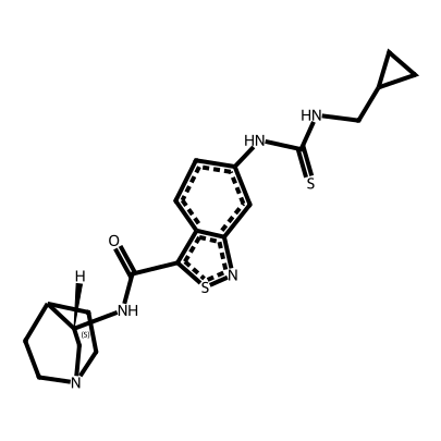 O=C(N[C@@H]1CN2CCC1CC2)c1snc2cc(NC(=S)NCC3CC3)ccc12